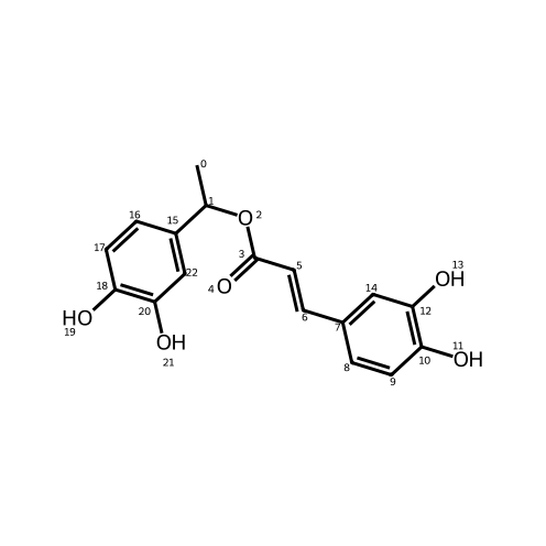 CC(OC(=O)C=Cc1ccc(O)c(O)c1)c1ccc(O)c(O)c1